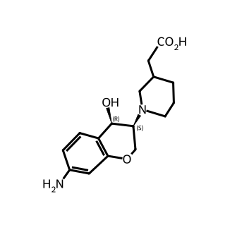 Nc1ccc2c(c1)OC[C@H](N1CCCC(CC(=O)O)C1)[C@@H]2O